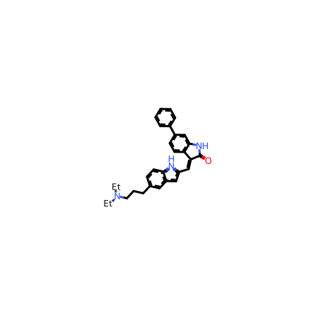 CCN(CC)CCCc1ccc2[nH]c(/C=C3/C(=O)Nc4cc(-c5ccccc5)ccc43)cc2c1